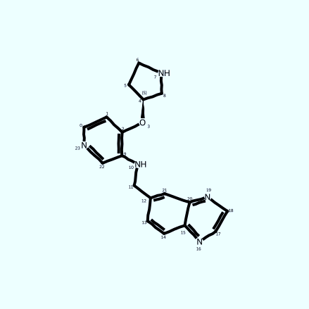 c1cc(O[C@H]2CCNC2)c(NCc2ccc3nccnc3c2)cn1